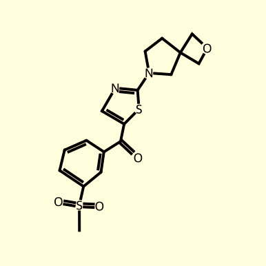 CS(=O)(=O)c1cccc(C(=O)c2cnc(N3CCC4(COC4)C3)s2)c1